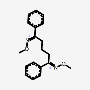 CO/N=C(\CCC/C(=N\OC)c1ccccc1)c1ccccc1